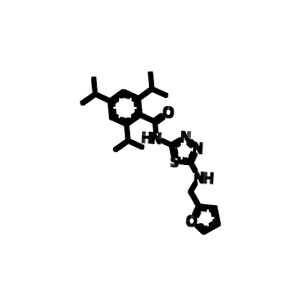 CC(C)c1cc(C(C)C)c(C(=O)Nc2nnc(NCc3ccco3)s2)c(C(C)C)c1